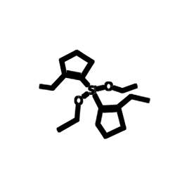 CCO[Si](OCC)(C1=C(CC)CCC1)C1=C(CC)CCC1